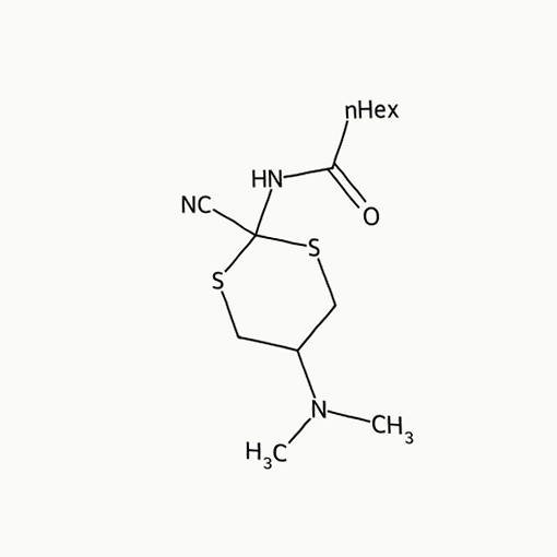 CCCCCCC(=O)NC1(C#N)SCC(N(C)C)CS1